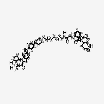 CN(C)C(=O)c1cc2cnc(Nc3ccc(N4CCN(CCOCCOCCNC(=O)CNc5cccc6c5C(=O)N(C5CCC(=O)NC5=O)C6=O)CC4)cn3)nc2n1C1CCCC1